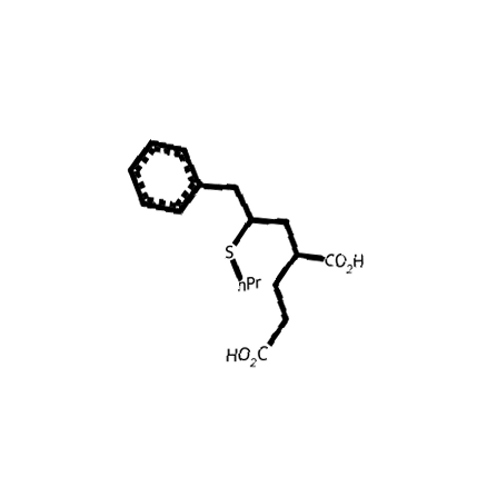 CCCSC(Cc1ccccc1)CC(CCC(=O)O)C(=O)O